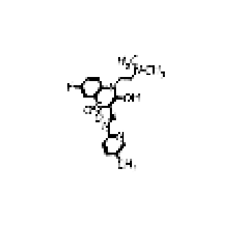 Cc1ccc(N=NC2=C(O)N(CCN(C)C)c3ccc(F)cc3S2(=O)=O)nc1